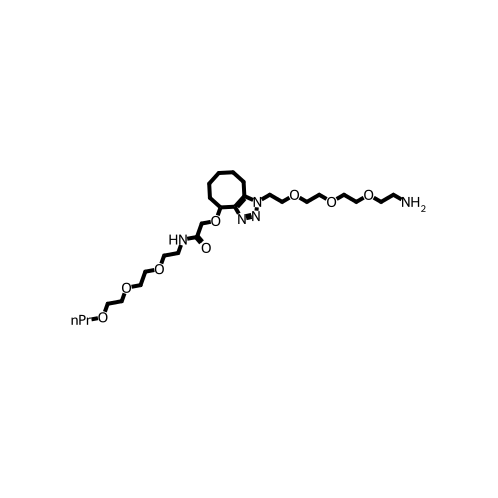 CCCOCCOCCOCCNC(=O)COC1CCCCCc2c1nnn2CCOCCOCCOCCN